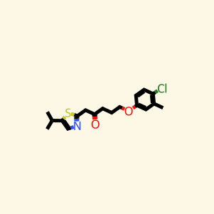 Cc1cc(OCCCC(=O)Cc2ncc(C(C)C)s2)ccc1Cl